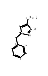 CCCCCc1cn(Cc2ccccc2)nn1